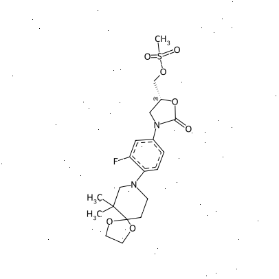 CC1(C)CN(c2ccc(N3C[C@H](COS(C)(=O)=O)OC3=O)cc2F)CCC12OCCO2